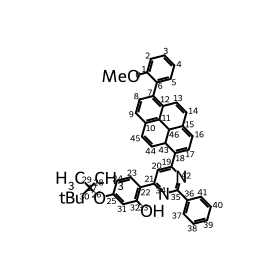 COc1ccccc1-c1ccc2c3c1C=CC1=CC=C(c4cc(-c5ccc(OC(C)(C)C(C)(C)C)cc5O)nc(-c5ccccc5)n4)C(C=C2)C13